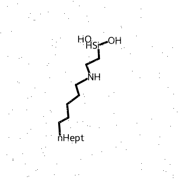 CCCCCCCCCCCCNCC[SiH](O)O